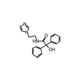 O=C(NCCn1ccnc1)C(O)(c1ccccc1)c1ccccc1